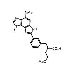 CNc1nc2[nH]c(-c3cccc(CN(CCOC)C(=O)O)c3)cc2c2c1ncn2C